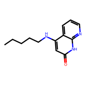 CCCCCNc1cc(=O)[nH]c2ncccc12